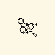 O=C=CCC1(N2CCNCC2)NCCc2c1[nH]c1ccccc21